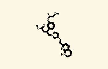 COC[C@H](C)Oc1cccc(C(CC(=O)OC)CN2CC[C@@H](CCc3ccc4c(n3)NCCC4)C2)c1